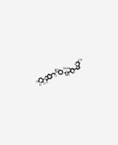 CNc1cc(-c2ccc3cc(C#N)cnn23)ncc1-c1nnc([C@H]2CC[C@H](N(C)C(=O)Cc3ccc4c(c3)CN(C3CCC(=O)NC3=O)C4=O)CC2)s1